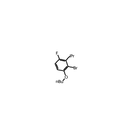 CCCCOc1ccc(F)c(C(C)C)c1Br